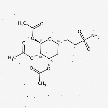 CC(=O)O[C@H]1O[C@H](CCS(N)(=O)=O)C[C@H](OC(C)=O)[C@@H]1OC(C)=O